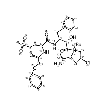 CC(C)(C)[N+]1(C(=O)[C@@H](O)[C@H](Cc2ccccc2)NC(=O)[C@H](CCS(C)(=O)=O)NC(=O)OCc2ccccc2)C[C@@H](Cl)C[C@H]1C(N)=O